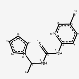 CC(NC(=S)Nc1ccc(Br)cn1)n1cccc1